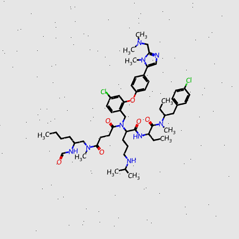 CCCCC(CN(C)C(=O)CCC(=O)N(Cc1ccc(Cl)cc1Oc1ccc(-c2cnc(CN(C)C)n2C)cc1)C(CCCNC(C)C)C(=O)NC(CC)C(=O)N(C)C(CC)Cc1ccc(Cl)cc1)NC=O